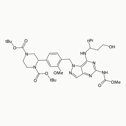 CCCC(CCO)Nc1nc(NC(=O)OC)nc2cnn(Cc3ccc(C4CN(C(=O)OC(C)(C)C)CCN4C(=O)OC(C)(C)C)cc3OC)c12